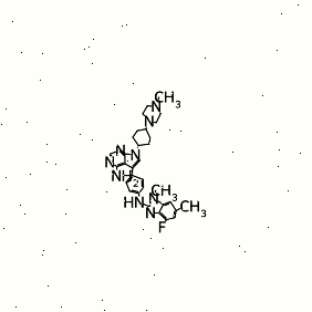 Cc1cc(F)c2nc(Nc3ccc(-c4cn([C@H]5CC[C@@H](N6CCN(C)CC6)CC5)c5ncnc(N)c45)cc3)n(C)c2c1